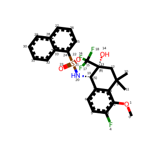 COc1c(F)ccc2c1C(C)(C)C[C@](O)(C(F)(F)F)[C@H]2NS(=O)(=O)c1cccc2ccccc12